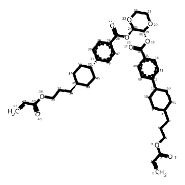 C=CC(=O)OCCCC1CCC(c2ccc(C(=O)O[C@H]3OCCO[C@@H]3OC(=O)c3ccc([C@H]4CC[C@H](CCCOC(=O)C=C)CC4)cc3)cc2)CC1